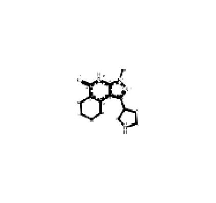 Cn1nc(C2CCNC2)c2c3c(c(=O)[nH]c21)CCCC3